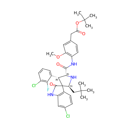 COc1cc(CC(=O)OC(C)(C)C)ccc1NC(=O)[C@@H]1N[C@@H](CC(C)(C)C)C2(C(=O)Nc3cc(Cl)ccc32)[C@@H]1c1cccc(Cl)c1F